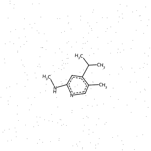 CNc1cc(C(C)C)c(C)cn1